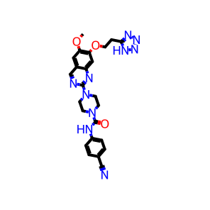 COc1cc2cnc(N3CCN(C(=O)Nc4ccc(C#N)cc4)CC3)nc2cc1OCCc1nnn[nH]1